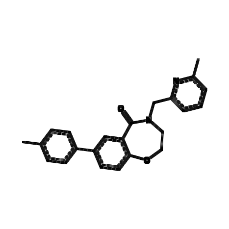 Cc1ccc(-c2ccc3c(c2)C(=O)N(Cc2cccc(C)n2)CCO3)cc1